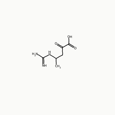 CC(CC(=O)C(=O)O)NC(=N)N